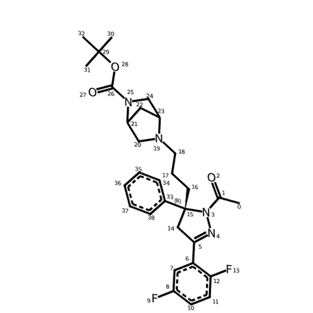 CC(=O)N1N=C(c2cc(F)ccc2F)C[C@]1(CCCN1CC2CC1CN2C(=O)OC(C)(C)C)c1ccccc1